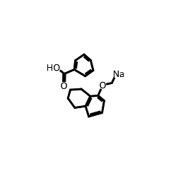 O=C(O)c1ccccc1.[Na][CH2]Oc1cccc2c1CCCC2